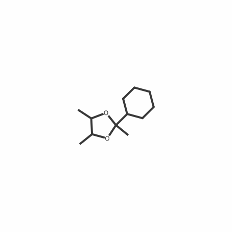 CC1OC(C)(C2CCCCC2)OC1C